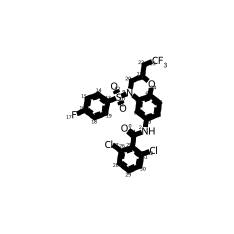 O=C(Nc1ccc2c(c1)N(S(=O)(=O)c1ccc(F)cc1)CC(CC(F)(F)F)O2)c1c(Cl)cccc1Cl